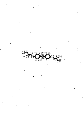 O[C@H](CF)COc1ccc(C(F)(F)c2ccc(OC[C@@H](O)CCl)cc2)cc1